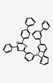 c1ccc(-c2ccc(-c3nc(-c4ccccc4)cc(-c4cccc(-n5c6ccccc6c6ccc(-c7cccc(-c8ccccc8)c7)cc65)c4)n3)cc2)cc1